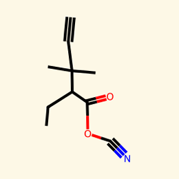 C#CC(C)(C)C(CC)C(=O)OC#N